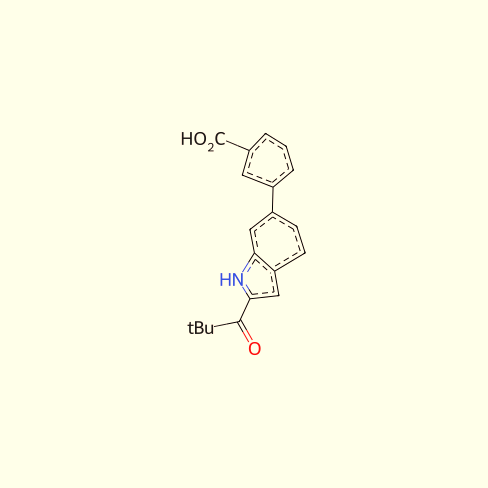 CC(C)(C)C(=O)c1cc2ccc(-c3cccc(C(=O)O)c3)cc2[nH]1